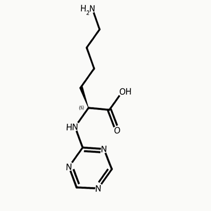 NCCCC[C@H](Nc1ncncn1)C(=O)O